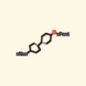 CCCCCCCCC[C@H]1CC[C@H]([C@H]2CC[C@H](OCCCCC)CC2)CC1